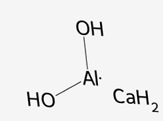 [CaH2].[OH][Al][OH]